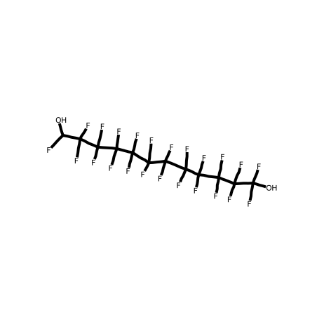 OC(F)C(F)(F)C(F)(F)C(F)(F)C(F)(F)C(F)(F)C(F)(F)C(F)(F)C(F)(F)C(F)(F)C(F)(F)C(O)(F)F